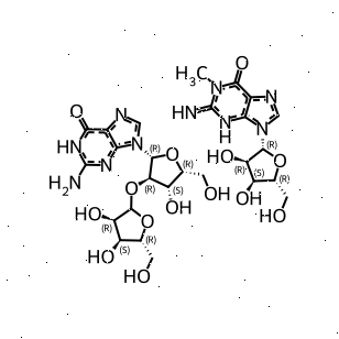 Cn1c(=N)[nH]c2c(ncn2[C@@H]2O[C@H](CO)[C@@H](O)[C@H]2O)c1=O.Nc1nc2c(ncn2[C@@H]2O[C@H](CO)[C@H](O)[C@H]2OC2O[C@H](CO)[C@@H](O)[C@H]2O)c(=O)[nH]1